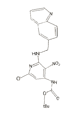 CC(C)(C)OC(=O)Nc1cc(Cl)nc(NCc2ccc3ncccc3c2)c1[N+](=O)[O-]